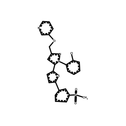 CS(=O)(=O)c1cccc(-c2ccc(-c3cc(COc4cccnc4)nn3-c3ccccc3Cl)s2)c1